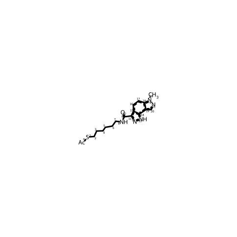 CC(=O)SCCCCCCNC(=O)c1n[nH]c2c1ccc1c2cnn1C